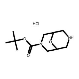 CC(C)(C)OC(=O)N1CC2CNCC(C1)O2.Cl